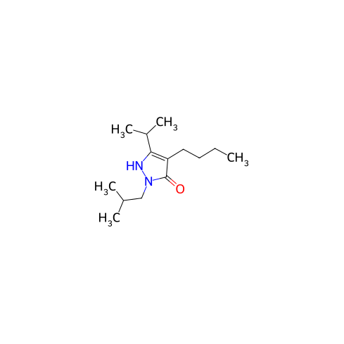 CCCCc1c(C(C)C)[nH]n(CC(C)C)c1=O